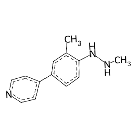 CNNc1ccc(-c2ccncc2)cc1C